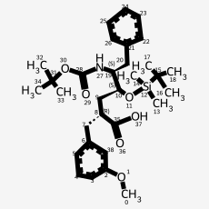 COc1cccc(C[C@H](C[C@H](O[Si](C)(C)C(C)(C)C)[C@H](Cc2ccccc2)NC(=O)OC(C)(C)C)C(=O)O)c1